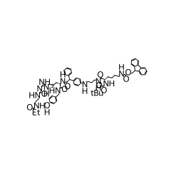 CCC(=O)NCCNC(=O)/N=C(/N)NCCC[C@@H](NC(=O)C(c1ccccc1)c1ccc(NCCCNC(=O)[C@@H](CCCCNC(=O)OCC2c3ccccc3-c3ccccc32)NC(=O)OC(C)(C)C)cc1)C(=O)NCc1ccc(O)cc1